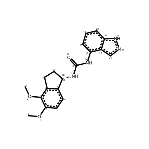 COc1ccc2c(c1OC)CC[C@@H]2NC(=O)Nc1cccc2[nH]ncc12